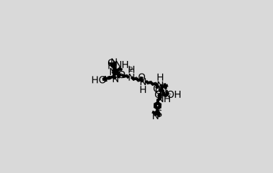 CCn1c(-c2nonc2N)nc2c(C#CC(C)(C)O)ncc(OCCCNCCCC(=O)NCCCCCC(=O)NC(C(=O)N3C[C@H](O)C[C@H]3C(=O)NCc3ccc(-c4scnc4C)cc3)C(C)(C)C)c21